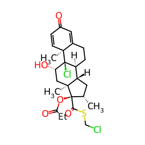 CCC(=O)O[C@]1(C(=O)SCCl)[C@@H](C)C[C@H]2[C@@H]3CCC4=CC(=O)C=C[C@]4(C)[C@@]3(Cl)[C@@H](O)C[C@@]21C